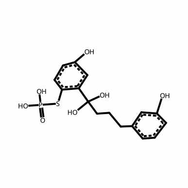 O=P(O)(O)Sc1ccc(O)cc1C(O)(O)CCCc1cccc(O)c1